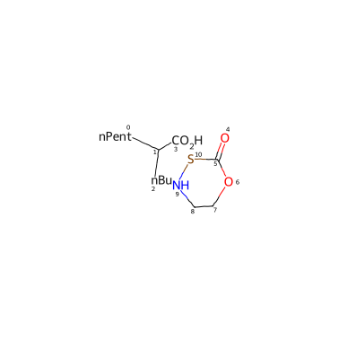 CCCCCC(CCCC)C(=O)O.O=C1OCCNS1